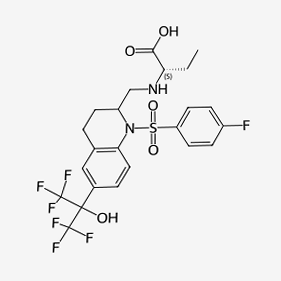 CC[C@H](NCC1CCc2cc(C(O)(C(F)(F)F)C(F)(F)F)ccc2N1S(=O)(=O)c1ccc(F)cc1)C(=O)O